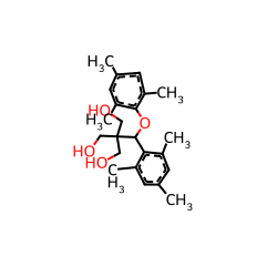 Cc1cc(C)c(OC(c2c(C)cc(C)cc2C)C(CO)(CO)CO)c(C)c1